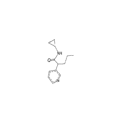 CCCC(C(=O)NC1CC1)c1cccnc1